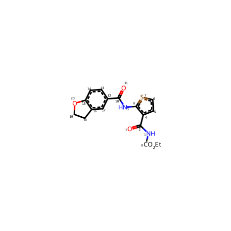 CCOC(=O)NC(=O)c1ccsc1NC(=O)c1ccc2c(c1)CCO2